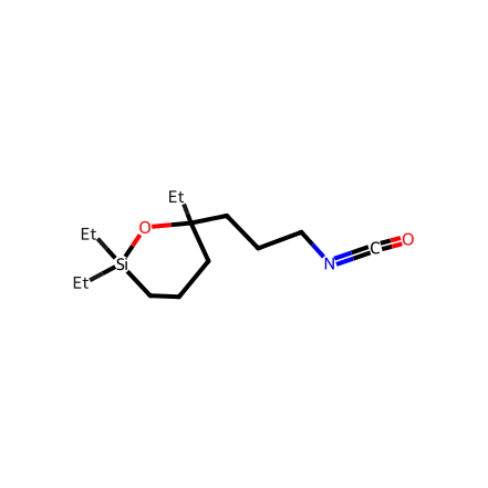 CCC1(CCCN=C=O)CCC[Si](CC)(CC)O1